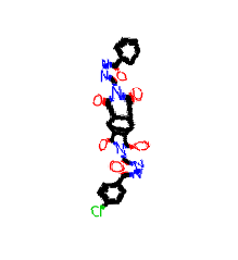 O=C1C2C3C=CC(C2C(=O)N1c1nnc(-c2ccccc2)o1)C1C(=O)N(c2nnc(-c4ccc(Cl)cc4)o2)C(=O)C31